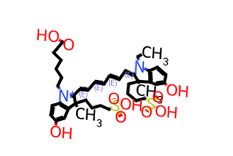 CCN1/C(=C/C=C/C=C/C=C/C2=[N+](CCCCCC(=O)O)c3ccc(O)cc3C2(C)CCCCS(=O)(=O)O)C(C)(CCCCS(=O)(=O)O)c2cc(O)ccc21